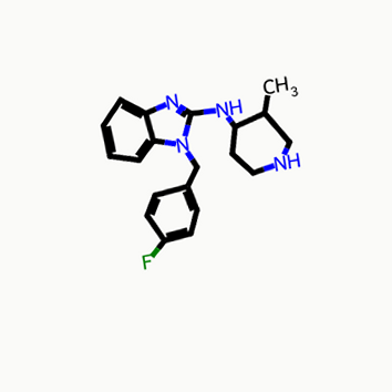 CC1CNCCC1Nc1nc2ccccc2n1Cc1ccc(F)cc1